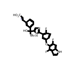 CC(C)(C)C(O)(c1cccc(/C=C/C(=O)O)c1)c1cnc(-c2cc(Oc3c(F)cc4[nH]ccc4c3F)ccc2F)[nH]1